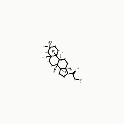 C[C@@]1(O)CC[C@@]2(F)[C@H](CC[C@H]3[C@@H]4CC[C@H](C(=O)CBr)[C@@]4(C)CC[C@@H]32)C1